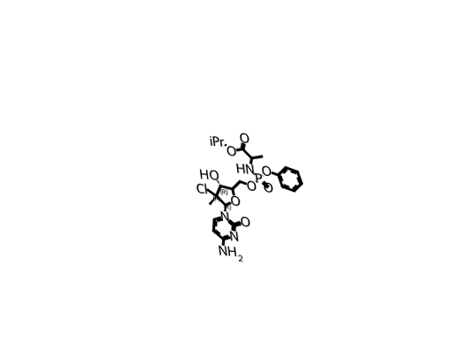 CC(C)OC(=O)C(C)NP(=O)(OCC1O[C@@H](n2ccc(N)nc2=O)[C@](C)(Cl)[C@@H]1O)Oc1ccccc1